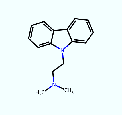 CN(C)CCn1c2ccccc2c2ccccc21